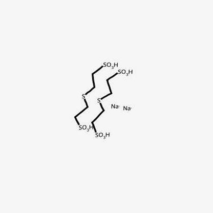 O=S(=O)(O)CCSCCS(=O)(=O)O.O=S(=O)(O)CCSCCS(=O)(=O)O.[Na].[Na]